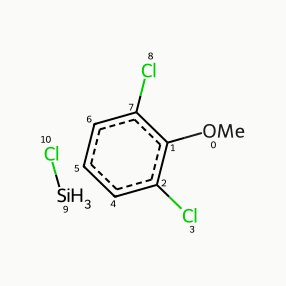 COc1c(Cl)cccc1Cl.[SiH3]Cl